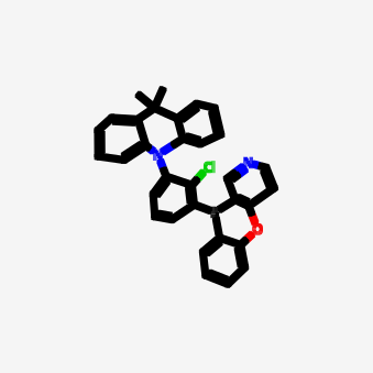 CC1(C)c2ccccc2N(c2cccc(B3c4ccccc4Oc4ccncc43)c2Cl)c2ccccc21